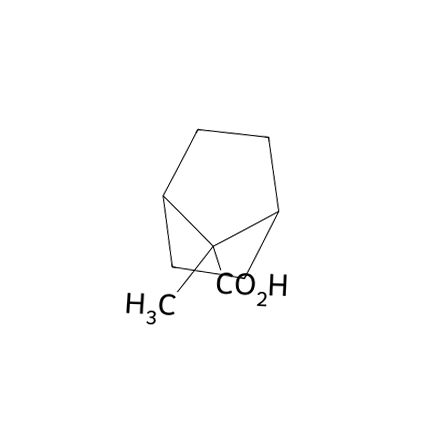 CC1(C(=O)O)C2CCC1CC2